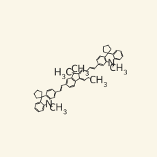 CC/C=C1\C(=C/C/C=C/c2ccc3c(c2)N(C)c2ccccc2C32CCCC2)C(C)(C)c2cc(/C=C/c3ccc4c(c3)N(C)c3ccccc3C43CCCC3)ccc21